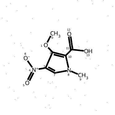 COc1c([N+](=O)[O-])cn(C)c1C(=O)O